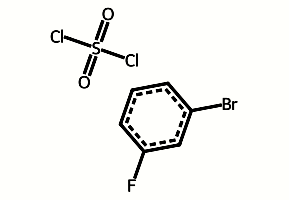 Fc1cccc(Br)c1.O=S(=O)(Cl)Cl